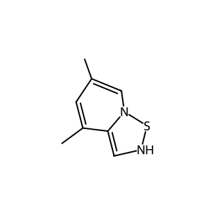 CC1=CN2SNC=C2C(C)=C1